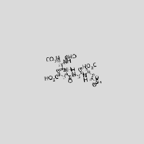 CS(=O)(=O)/C=C/C(CC(=O)O)NC(=O)CNC(=O)C(CCC(=O)O)NC(=O)[C@H](CC(=O)O)NC=O